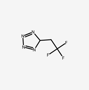 FC(F)(F)CC1N=NN=N1